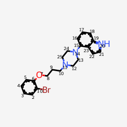 Brc1ccccc1OCCCN1CCN(c2cccc3[nH]ccc23)CC1